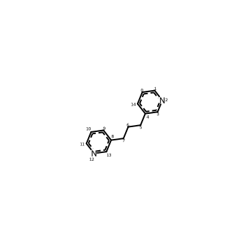 c1cncc(CCCc2cccnc2)c1